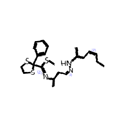 CC/C=C\CC(C)N/N=C\CC(C)/N=C(\SC)C1(c2ccccc2)SCCS1